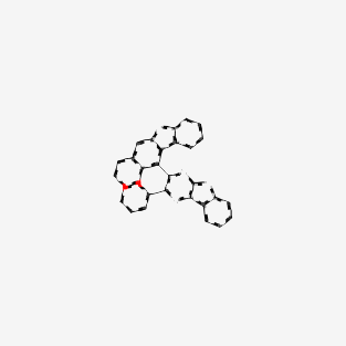 c1ccc(-c2nc3c(nc2-c2c4ccccc4cc4sc5ccccc5c24)oc2ccccc23)cc1